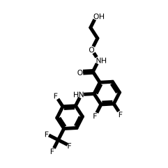 O=C(NOCCO)c1ccc(F)c(F)c1Nc1ccc(C(F)(F)F)cc1F